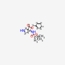 CC(C)(C)OC(=O)NC1C2CNCC21C(=O)OCc1ccccc1